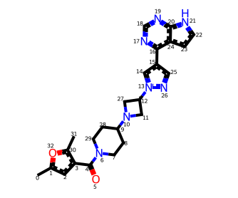 Cc1cc(C(=O)N2CCC(N3C[C](n4cc(-c5ncnc6[nH]ccc56)cn4)C3)CC2)c(C)o1